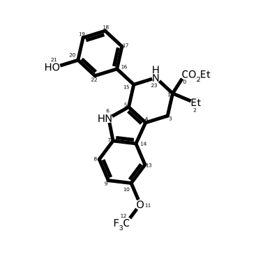 CCOC(=O)C1(CC)Cc2c([nH]c3ccc(OC(F)(F)F)cc23)C(c2cccc(O)c2)N1